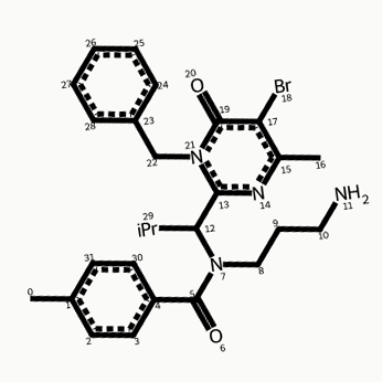 Cc1ccc(C(=O)N(CCCN)C(c2nc(C)c(Br)c(=O)n2Cc2ccccc2)C(C)C)cc1